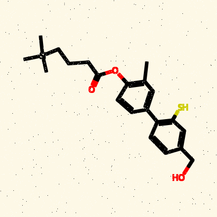 Cc1cc(-c2ccc(CO)cc2S)ccc1OC(=O)CCC[Si](C)(C)C